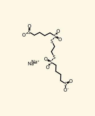 O=S([O-])CCCCS(=O)(=O)SCCSS(=O)(=O)CCCCS(=O)[O-].[Na+].[Na+]